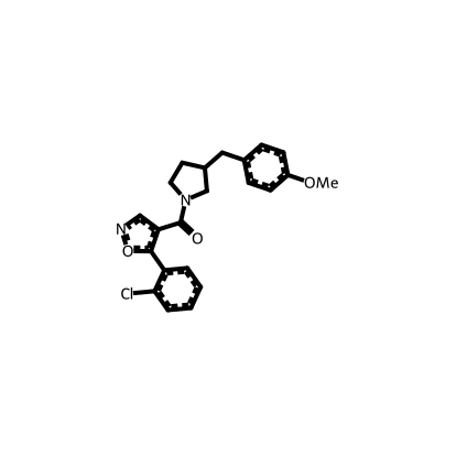 COc1ccc(CC2CCN(C(=O)c3cnoc3-c3ccccc3Cl)C2)cc1